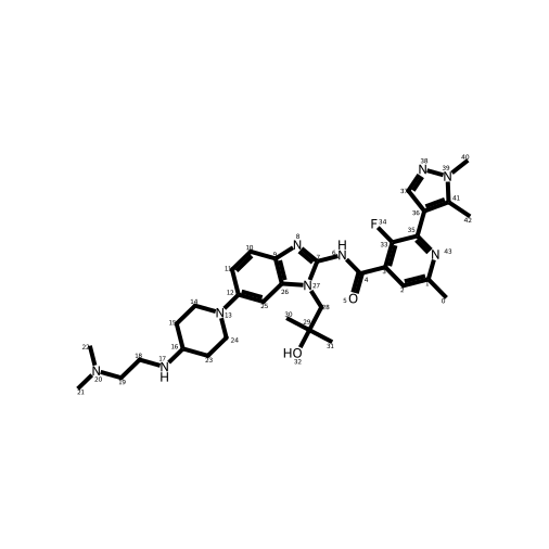 Cc1cc(C(=O)Nc2nc3ccc(N4CCC(NCCN(C)C)CC4)cc3n2CC(C)(C)O)c(F)c(-c2cnn(C)c2C)n1